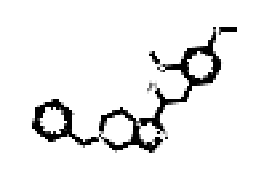 COc1ccc(CC(N)c2ncc3n2CCN(Cc2ccccc2)C3)c(OC)c1